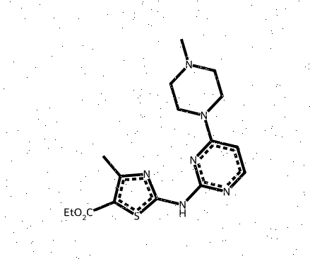 CCOC(=O)c1sc(Nc2nccc(N3CCN(C)CC3)n2)nc1C